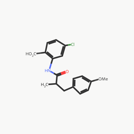 COc1ccc(CC(C)C(=O)Nc2cc(Cl)ccc2C(=O)O)cc1